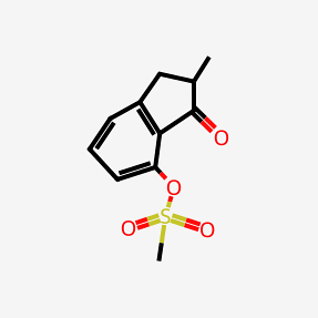 CC1Cc2cccc(OS(C)(=O)=O)c2C1=O